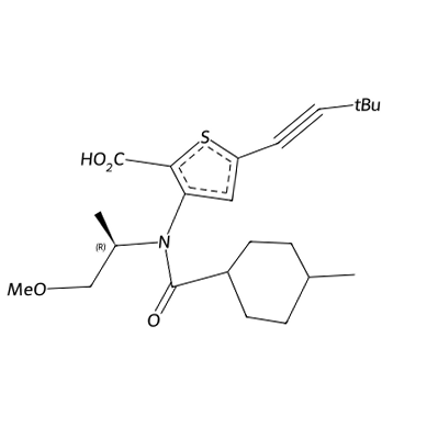 COC[C@@H](C)N(C(=O)C1CCC(C)CC1)c1cc(C#CC(C)(C)C)sc1C(=O)O